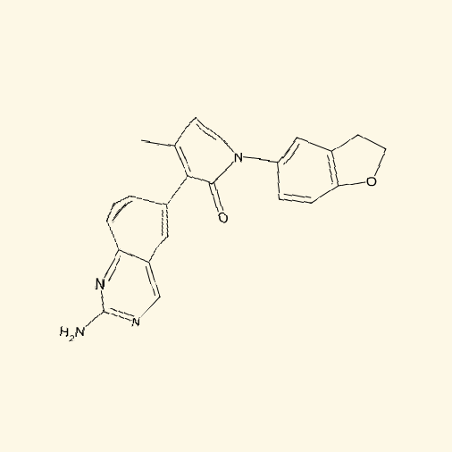 Cc1ccn(-c2ccc3c(c2)CCO3)c(=O)c1-c1ccc2nc(N)ncc2c1